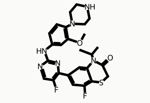 COc1cc(Nc2ncc(F)c(-c3cc(F)c4c(c3)N(C(C)C)C(=O)CS4)n2)ccc1N1CCNCC1